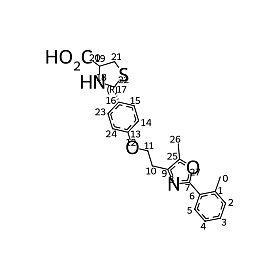 Cc1ccccc1-c1nc(CCOc2ccc([C@@H]3NC(C(=O)O)CS3)cc2)c(C)o1